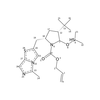 C=CCOC(=O)N1C(O[SiH](C)C)[C@@H](C(C)(C)C)C[C@H]1Cc1cn2c(C)ncc2s1